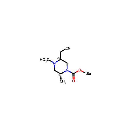 C[C@H]1CN(C(=O)O)[C@@H](CC#N)CN1C(=O)OC(C)(C)C